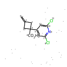 C=C1CC(C(=O)O)(c2cc(Cl)nc(Cl)c2)C1